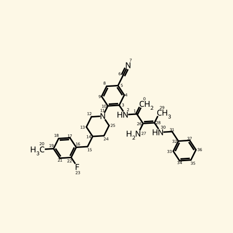 C=C(Nc1cc(C#N)ccc1N1CCC(Cc2ccc(C)cc2F)CC1)/C(N)=C(\C)NCc1ccccc1